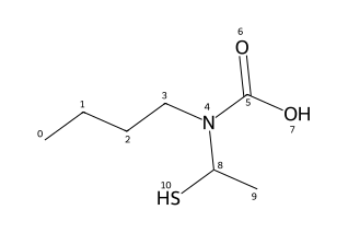 CCCCN(C(=O)O)C(C)S